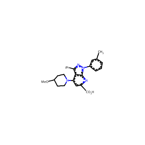 COC1CCN(c2cc(C(=O)O)nc3c2c(C(C)C)nn3-c2cccc(C)c2)CC1